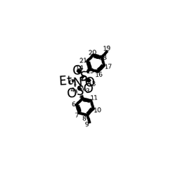 CCN(S(=O)(=O)c1ccc(C)cc1)S(=O)(=O)c1ccc(C)cc1